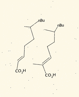 CCCCC(C)CCC=C(C)C(=O)O.CCCCC(C)CCC=CC(=O)O